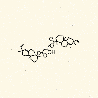 C=CC1(C)C=C2CCC3C(C)(OC(=O)CC(O)COC(=O)C4(C)CCCC5(C)C6CCC(C)(C=C)C=C6CCC45)CCCC3(C)C2CC1